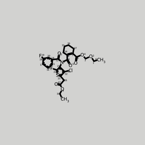 CCOCOC(=O)C1=C(C(=O)N(C(=O)c2cccc(F)c2)c2c(F)sc(CC(=O)OCC)c2Cl)CCCC1